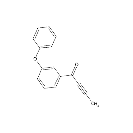 CC#CC(=O)c1cccc(Oc2ccccc2)c1